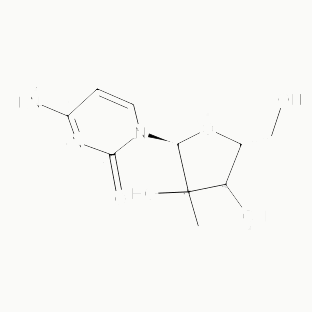 CC1(O)C(O)[C@@H](CO)O[C@@H]1n1ccc(N)nc1=O